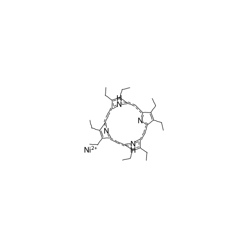 CCC1=C(CC)c2cc3[nH]c(cc4nc(cc5[nH]c(cc1n2)c(CC)c5CC)C(CC)=C4CC)c(CC)c3CC.[Ni+2]